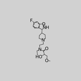 CCN(CCN1CCC(C2NOc3cc(F)ccc32)CC1)C(=O)C(O)COC